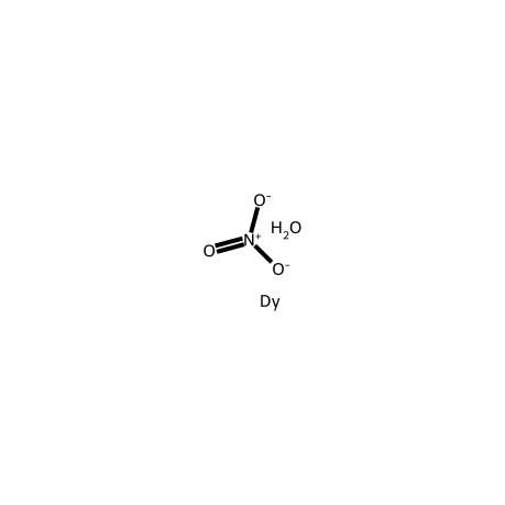 O.O=[N+]([O-])[O-].[Dy]